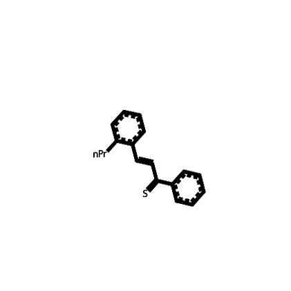 CCCc1ccccc1C=CC(=S)c1ccccc1